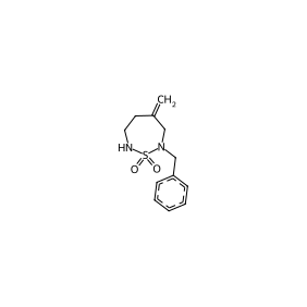 C=C1CCNS(=O)(=O)N(Cc2ccccc2)C1